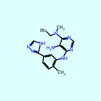 Cc1ccc(-c2nnc[nH]2)cc1Nc1ncnc(N(C)CC(C)(C)C)c1N